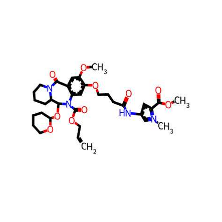 C=CCOC(=O)N1c2cc(OCCCC(=O)Nc3cc(C(=O)OC)n(C)c3)c(OC)cc2C(=O)N2CCCCC2C1OC1CCCCO1